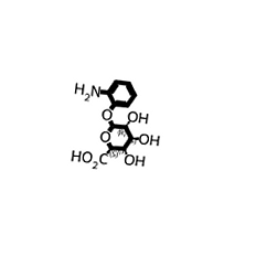 Nc1ccccc1OC1O[C@H](C(=O)O)[C@@H](O)[C@H](O)[C@H]1O